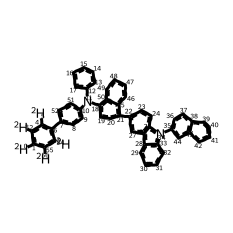 [2H]c1c([2H])c([2H])c(-c2ccc(N(c3ccccc3)c3ccc(-c4ccc5c(c4)c4ccccc4n5-c4ccc5ccccc5c4)c4ccccc34)cc2)c([2H])c1[2H]